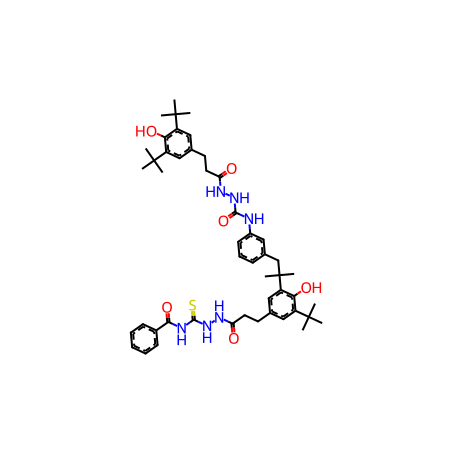 CC(C)(C)c1cc(CCC(=O)NNC(=O)Nc2cccc(CC(C)(C)c3cc(CCC(=O)NNC(=S)NC(=O)c4ccccc4)cc(C(C)(C)C)c3O)c2)cc(C(C)(C)C)c1O